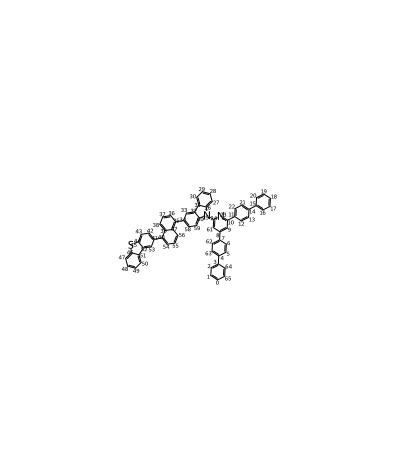 c1ccc(-c2ccc(-c3cc(-c4ccc(-c5ccccc5)cc4)nc(-n4c5ccccc5c5cc(-c6cccc7c(-c8ccc9sc%10ccccc%10c9c8)cccc67)ccc54)c3)cc2)cc1